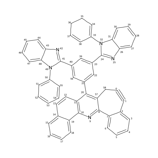 C1#Cc2ccccc2-c2nc3c(ccc4ccccc43)c(-c3cc(-c4nc5ccccc5n4C4=CCCC=C4)cc(-c4nc5ccccc5n4-c4ccccc4)c3)c2C1